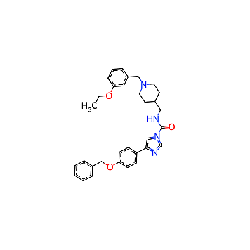 CCOc1cccc(CN2CCC(CNC(=O)n3cnc(-c4ccc(OCc5ccccc5)cc4)c3)CC2)c1